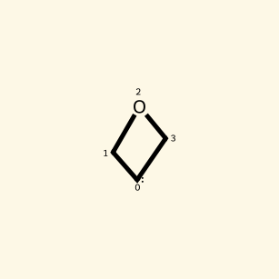 [C]1COC1